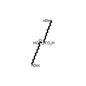 CCCCCCCCCCCCCCCCCCCCCCC(O)C(=O)OC(CCCCCCCCCCCCCCCCCCCCCC)C(=O)O